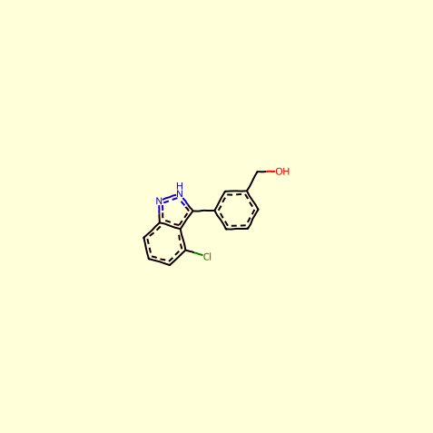 OCc1cccc(-c2[nH]nc3cccc(Cl)c23)c1